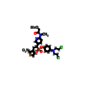 COCC(=O)N(C)c1ccc(C(Cc2ccsc2[N+](=O)[O-])S(=O)(=O)Oc2ccc(N(CCCl)CCCl)cc2)cn1